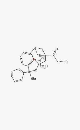 CC(C)(C)[Si](OC1C2C3CC(CC1N3C(=O)O)CN2C(=O)CC(F)(F)F)(c1ccccc1)c1ccccc1